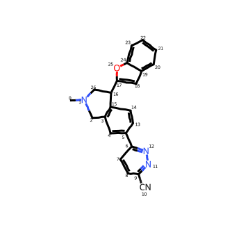 CN1Cc2cc(-c3ccc(C#N)nn3)ccc2C(c2cc3ccccc3o2)C1